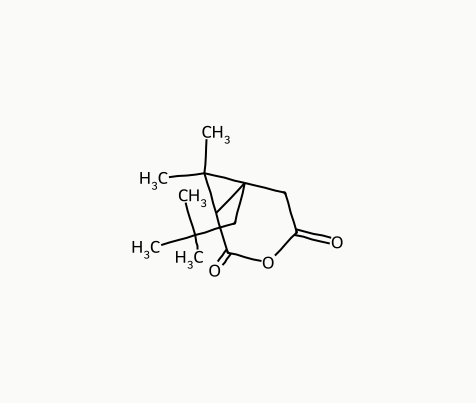 CC(C)(C)CC12CC(=O)OC(=O)C1C2(C)C